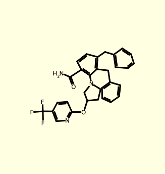 NC(=O)c1ccc(Cc2ccccc2)c(Cc2ccccc2)c1N1CCC(Oc2ccc(C(F)(F)F)cn2)C1